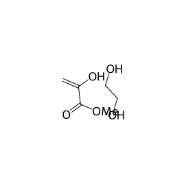 C=C(O)C(=O)OC.OCCO